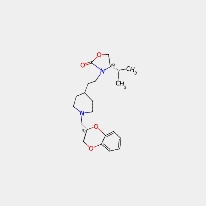 CC(C)[C@H]1COC(=O)N1CCC1CCN(C[C@H]2COc3ccccc3O2)CC1